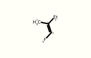 [CH2]CC(C)=CF